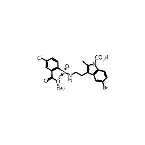 Cc1c(CCNS(=O)(=O)c2ccc(Cl)cc2C(=O)OC(C)(C)C)c2cc(Br)ccc2n1C(=O)O